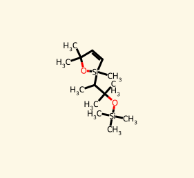 CC(C(C)(C)O[Si](C)(C)C)[Si]1(C)C=CC(C)(C)O1